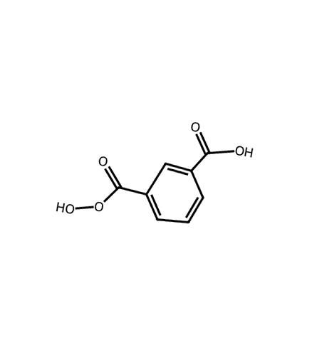 O=C(O)c1cccc(C(=O)OO)c1